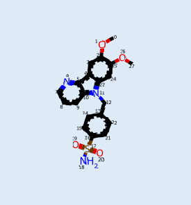 COc1cc2c3ncccc3n(Cc3ccc(S(N)(=O)=O)cc3)c2cc1OC